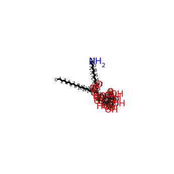 CCCCCCCCCCCCCCCC(=O)O[C@H](COC(=O)CCCCCCCCCN)COP(=O)(O)OC1C(O)[C@@H](OP(=O)(O)O)C(OP(=O)(O)O)[C@@H](OP(=O)(O)O)[C@H]1O